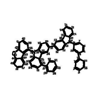 c1ccc(-c2cccc(-n3c4ccccc4c4cc(-c5ccc6c(c5)c5c(-c7ccccc7)cccc5n6-c5cccc6oc7ccccc7c56)ccc43)c2)cc1